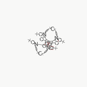 CC(C)(C)c1ccc(N2c3ccc(cc3)C(C)(C)CC(C)(C)c3ccc(cc3)N(c3ccc(C(C)(C)C)cc3)c3cc4c(c5ccccc35)-c3c5cc(c6ccccc36)N(c3ccc(C(C)(C)C)cc3)c3ccc(cc3)C(C)(C)CC(C)(C)c3ccc(cc3)N(c3ccc(C(C)(C)C)cc3)c3cc6c(c7ccccc37)-c3c(cc2c2ccccc32)C6(c2ccccc2)C45c2ccccc2)cc1